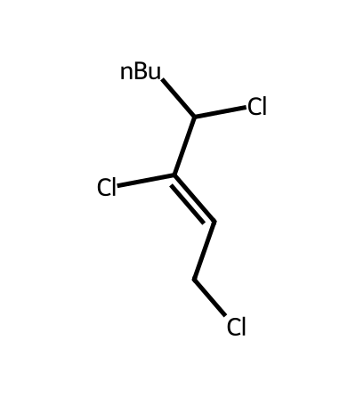 CCCCC(Cl)C(Cl)=CCCl